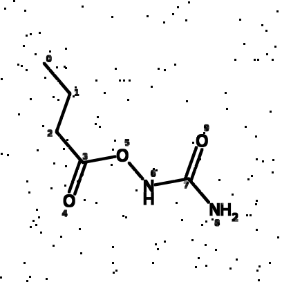 CCCC(=O)ONC(N)=O